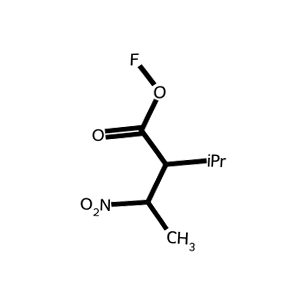 CC(C)C(C(=O)OF)C(C)[N+](=O)[O-]